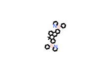 CC1(C)c2cc(B(c3ccccc3)c3ccccn3)ccc2-c2cc3ccc(B(c4ccccc4)c4ccccn4)cc3c3cccc1c23